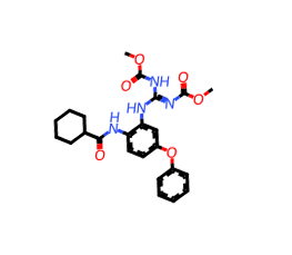 COC(=O)N=C(NC(=O)OC)Nc1cc(Oc2ccccc2)ccc1NC(=O)C1CCCCC1